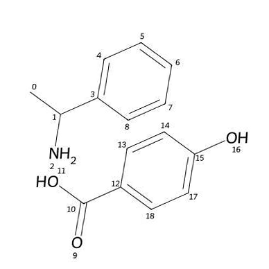 CC(N)c1ccccc1.O=C(O)c1ccc(O)cc1